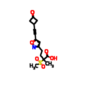 CC(CCc1cc(C#CC2CC(=O)C2)on1)(C(=O)O)S(C)(=O)=O